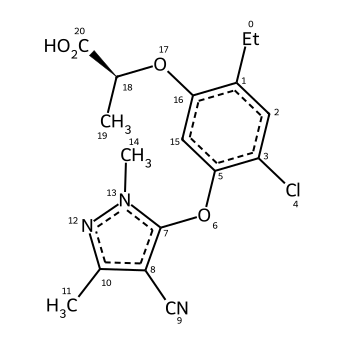 CCc1cc(Cl)c(Oc2c(C#N)c(C)nn2C)cc1O[C@@H](C)C(=O)O